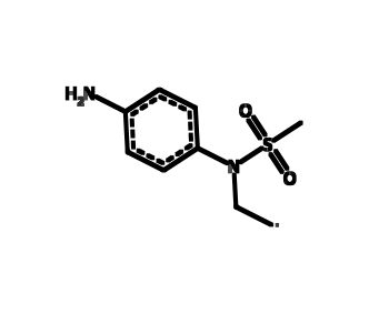 [CH2]CN(c1ccc(N)cc1)S(C)(=O)=O